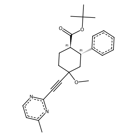 COC1(C#Cc2nccc(C)n2)CC[C@@H](C(=O)OC(C)(C)C)[C@H](c2ccccc2)C1